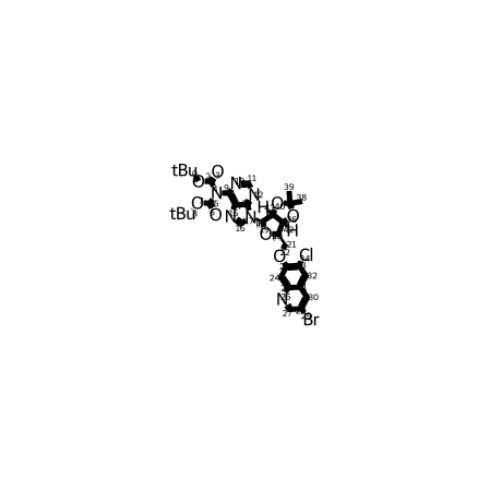 CC(C)(C)OC(=O)N(C(=O)OC(C)(C)C)c1ncnc2c1ncn2[C@@H]1O[C@H](COc2cc3ncc(Br)cc3cc2Cl)[C@H]2OC(C)(C)O[C@H]21